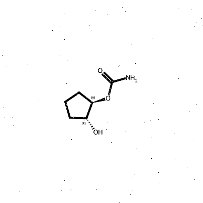 NC(=O)O[C@@H]1CCC[C@H]1O